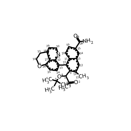 CC(=O)C(OC(C)(C)C)c1c(C)cc2cc(C(N)=O)ccc2c1-c1ccc2c3c(ccnc13)CCO2